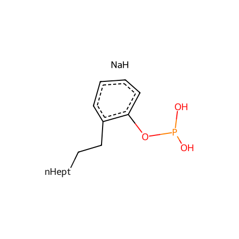 CCCCCCCCCc1ccccc1OP(O)O.[NaH]